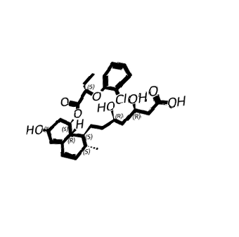 CC[C@H](Oc1ccccc1Cl)C(=O)O[C@H]1C[C@H](O)C=C2C=C[C@@H](C)[C@H](CC[C@@H](O)C[C@@H](O)CC(=O)O)[C@H]21